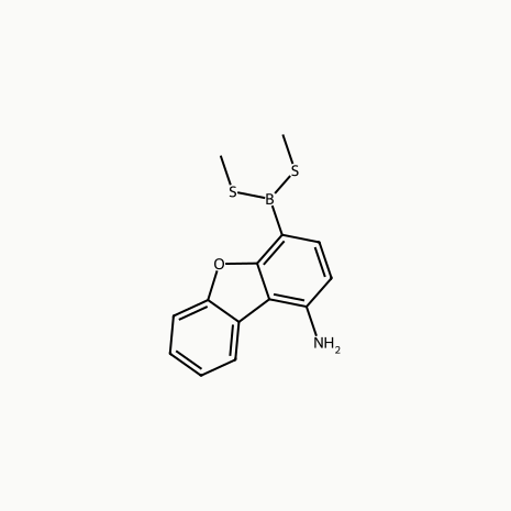 CSB(SC)c1ccc(N)c2c1oc1ccccc12